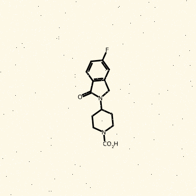 O=C(O)N1CCC(N2Cc3cc(F)ccc3C2=O)CC1